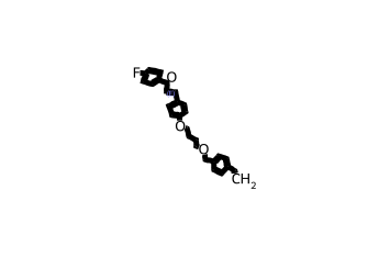 C=Cc1ccc(COCCCCOc2ccc(/C=C/C(=O)c3ccc(F)cc3)cc2)cc1